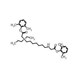 CCC[N+](CC)(CCCCCCCNCC(=O)Oc1c(C)cccc1C)CC(=O)Oc1c(C)cccc1C